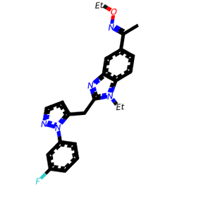 CCON=C(C)c1ccc2c(c1)nc(Cc1ccnn1-c1cccc(F)c1)n2CC